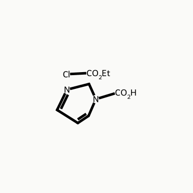 CCOC(=O)Cl.O=C(O)N1C=CC=NC1